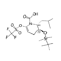 CC(C)C[C@@H]1[C@@H](O[Si](C)(C)C(C)(C)C)CC=C(OS(=O)(=O)C(F)(F)F)N1C(=O)O